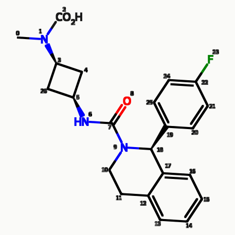 CN(C(=O)O)[C@H]1C[C@@H](NC(=O)N2CCc3ccccc3[C@@H]2c2ccc(F)cc2)C1